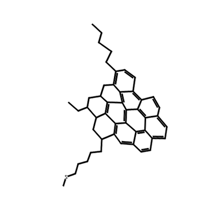 CCCCCc1ccc2c3ccc4ccc5ccc6cc7c8c9c%10c(c2c1CC%10CC(CC)C9CC7CCCCCSC)c1c8c6c5c4c31